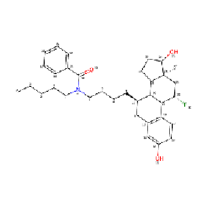 CCCCCN(CCCC[C@@H]1Cc2cc(O)ccc2C2C1C1CCC(O)[C@@]1(C)C[C@@H]2F)C(=O)c1ccccc1